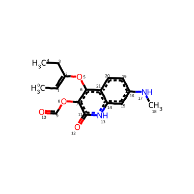 CC=C(CC)Oc1c(OC=O)c(=O)[nH]c2cc(NC)ccc12